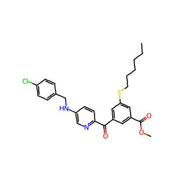 CCCCCCSc1cc(C(=O)OC)cc(C(=O)c2ccc(NCc3ccc(Cl)cc3)cn2)c1